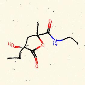 CCNC(=O)C1(C)C[C@@](O)(CC)C(=O)O1